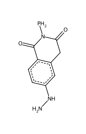 NNc1ccc2c(c1)CC(=O)N(P)C2=O